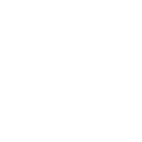 C1CCC(C(C2CCCCC2)C(C2CCCCC2)C2CCC3OC3C2)CC1